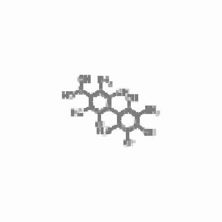 Bc1c(O)c(O)c(B)c(-c2c(O)c(B)c(B(O)O)c(O)c2O)c1O